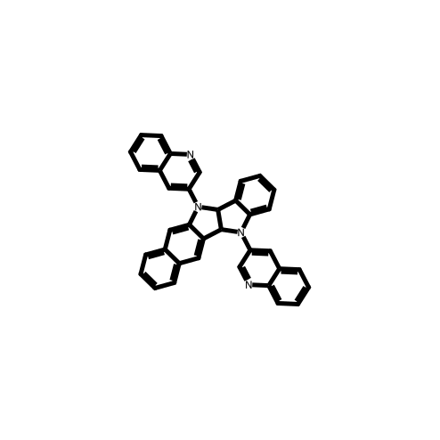 c1ccc2c(c1)C1C(c3cc4ccccc4cc3N1c1cnc3ccccc3c1)N2c1cnc2ccccc2c1